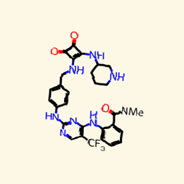 CNC(=O)c1ccccc1Nc1nc(Nc2ccc(CNc3c(NC4CCCNC4)c(=O)c3=O)cc2)ncc1C(F)(F)F